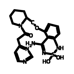 NC1=NS(O)(O)Nc2cccc(OCC3CCCCN3C(=O)Cc3ccncn3)c21